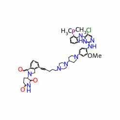 COc1cc(N2CCC(N3CCN(CCCC#Cc4cccc5c4CN(C4CCC(=O)NC4=O)C5=C=O)CC3)CC2)ccc1Nc1ncc(Cl)c(Nc2ccccc2P(C)C)n1